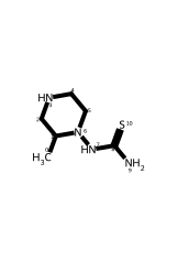 CC1CNCCN1NC(N)=S